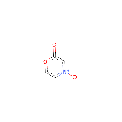 O=c1[c][n+]([O-])cco1